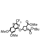 COC(=O)C1CC(Oc2nc(C(F)(F)F)nc3cc(OC)c(OC)cc23)CN1C(=O)OC(C)(C)C